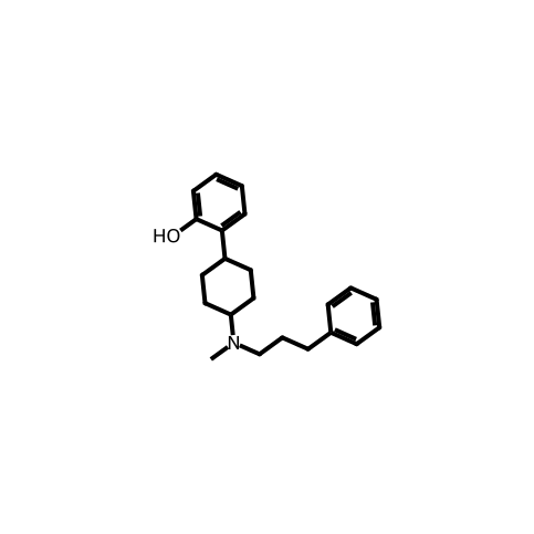 CN(CCCc1ccccc1)C1CCC(c2ccccc2O)CC1